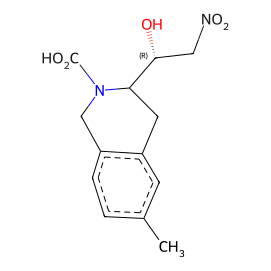 Cc1ccc2c(c1)CC([C@H](O)C[N+](=O)[O-])N(C(=O)O)C2